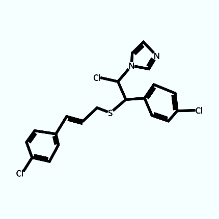 Clc1ccc(C=CCSC(c2ccc(Cl)cc2)C(Cl)n2ccnc2)cc1